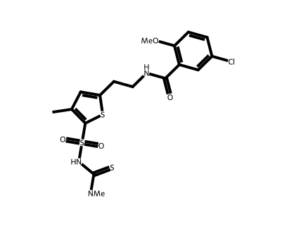 CNC(=S)NS(=O)(=O)c1sc(CCNC(=O)c2cc(Cl)ccc2OC)cc1C